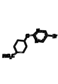 CCOC(=O)C1CCC(Oc2ncc(Br)cn2)CC1